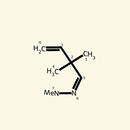 C=CC(C)(C)/C=N\NC